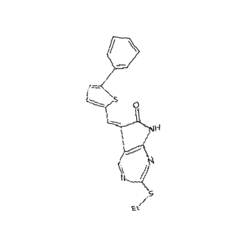 CCSc1ncc2c(n1)NC(=O)C2=Cc1ccc(-c2ccccc2)s1